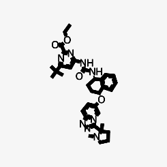 CCOC(=O)c1nc(NC(=O)N[C@H]2CC[C@@H](Oc3ccc4nnc(C5(C)CCCN5C)n4c3)c3ccccc32)cc(C(C)(C)C)n1